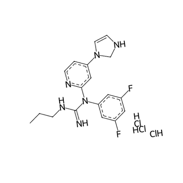 CCCNC(=N)N(c1cc(F)cc(F)c1)c1cc(N2C=CNC2)ccn1.Cl.Cl.Cl